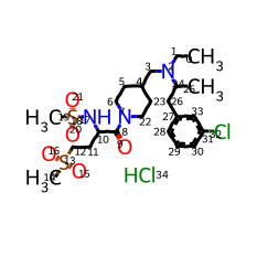 CCN(CC1CCN(C(=O)C(CCS(C)(=O)=O)NS(C)(=O)=O)CC1)C(C)Cc1cccc(Cl)c1.Cl